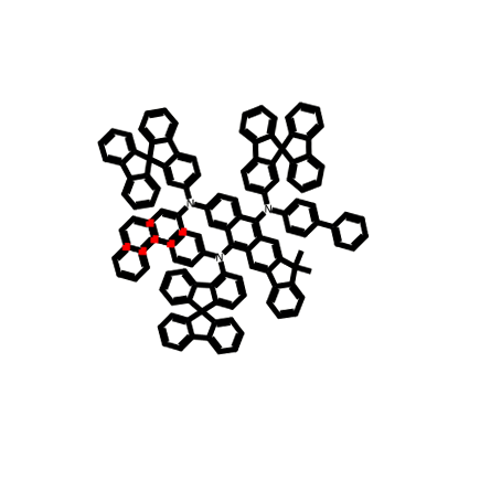 CC1(C)c2ccccc2-c2cc3c(N(c4ccc(-c5ccccc5)cc4)c4cccc5c4-c4ccccc4C54c5ccccc5-c5ccccc54)c4cc(N(c5ccc(-c6ccccc6)cc5)c5ccc6c(c5)C5(c7ccccc7-c7ccccc75)c5ccccc5-6)ccc4c(N(c4ccc(-c5ccccc5)cc4)c4ccc5c(c4)C4(c6ccccc6-c6ccccc64)c4ccccc4-5)c3cc21